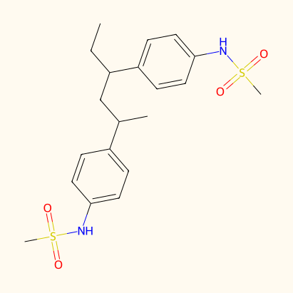 CCC(CC(C)c1ccc(NS(C)(=O)=O)cc1)c1ccc(NS(C)(=O)=O)cc1